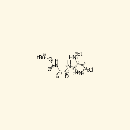 CCNc1cc(Cl)nnc1NC(=O)[C@@H](C)NC(=O)OC(C)(C)C